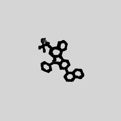 O=S(=O)(Oc1cc2c(c3ccccc13)c1ccc(-c3cccc4ccccc34)cc1n2-c1ccccc1)C(F)(F)F